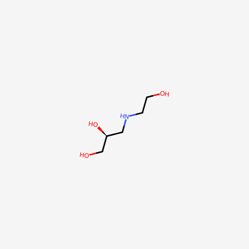 OCCNC[C@H](O)CO